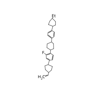 C=CC1CCC(c2ccc(C3CCC(c4ccc(C5CCC(CC)CC5)cc4)CC3)c(F)c2)CC1